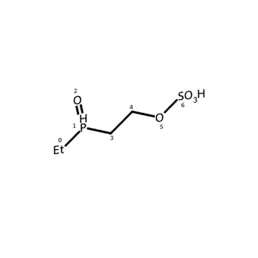 CC[PH](=O)CCOS(=O)(=O)O